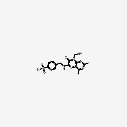 CCS(=O)(=O)c1ccc(CNc2nc3c(C)nc(Cl)nc3n(CC(C)C)c2=O)cn1